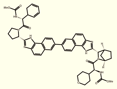 COC(=O)N[C@H](C(=O)N1[C@@H]2CC[C@@H](C2)[C@H]1c1nc2ccc3cc(-c4ccc5c(ccc6nc([C@@H]7CCCN7C(=O)[C@H](NC(=O)OC)C7C=CC=CC7)[nH]c65)c4)ccc3c2[nH]1)C1CCOCC1